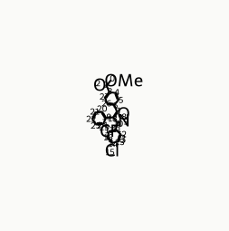 COC(=O)c1ccc(-c2onc(-c3ccc(Cl)cc3)c2-c2ccccc2C(F)(F)F)cc1